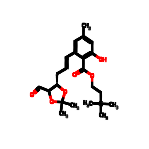 Cc1cc(O)c(C(=O)OCC[Si](C)(C)C)c(/C=C/C[C@@H]2OC(C)(C)OC2C=O)c1